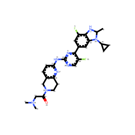 CC1Nc2c(F)cc(-c3nc(Nc4ccc5c(n4)CCN(C(=O)CN(C)C)C5)ncc3F)cc2N1C1CC1